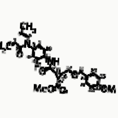 C=CC(=O)N(C=CC)c1ccc(NC(=O)C2C(COCc3ccc(OC)cc3)C2C(=O)OC)c(F)c1